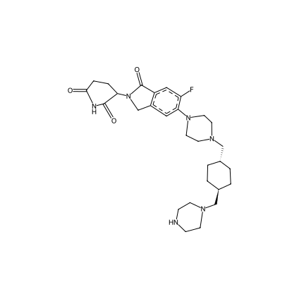 O=C1CCC(N2Cc3cc(N4CCN(C[C@H]5CC[C@H](CN6CCNCC6)CC5)CC4)c(F)cc3C2=O)C(=O)N1